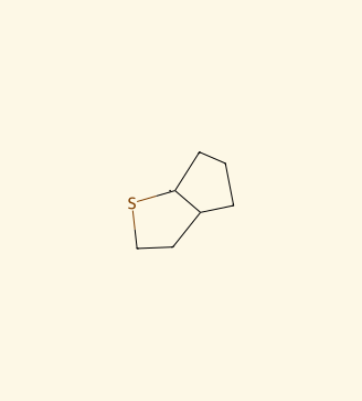 C1C[C]2SCCC2C1